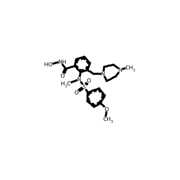 COc1ccc(S(=O)(=O)N(C)c2c(CN3CCN(C)CC3)cccc2C(=O)NO)cc1